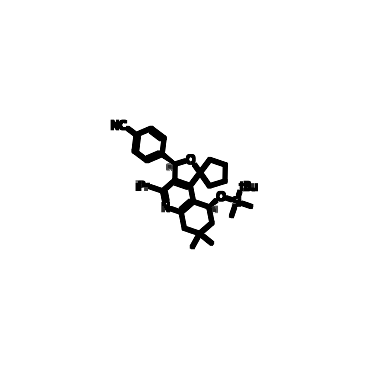 CC(C)c1nc2c(c3c1[C@@H](c1ccc(C#N)cc1)OC31CCCC1)[C@@H](O[Si](C)(C)C(C)(C)C)CC(C)(C)C2